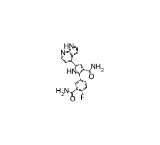 NC(=O)c1cc(-c2[nH]c(-c3ccnc4[nH]ccc34)cc2C(N)=O)ccc1F